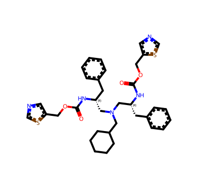 O=C(N[C@H](Cc1ccccc1)CN(CC1CCCCC1)C[C@@H](Cc1ccccc1)NC(=O)OCc1cncs1)OCc1cncs1